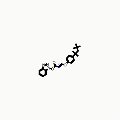 CC(C)(C)CC(C)(C)c1ccc(O/C=C/C(=O)On2nnc3ccccc32)cc1